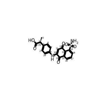 C[C@H](C(=O)O)c1ccc(NC2=CC(=O)c3c(cccc3S(N)(=O)=O)C2=O)cc1